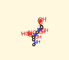 OOOSc1ccc(O)c(N=Nc2cc(O)c(N=Nc3c(SOOO)cc4ccc(Nc5ccccc5)cc4c3O)cc2O)c1